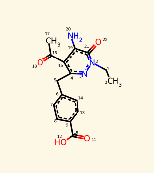 CCn1nc(Cc2ccc(C(=O)O)cc2)c(C(C)=O)c(N)c1=O